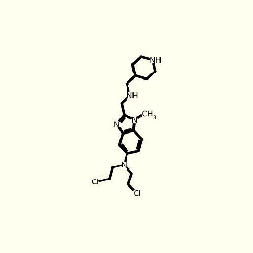 Cn1c(CNCC2CCNCC2)nc2cc(N(CCCl)CCCl)ccc21